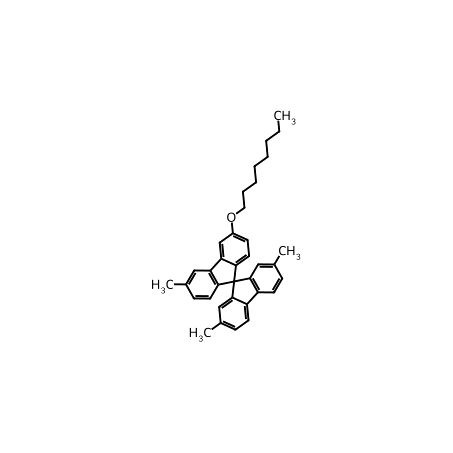 CCCCCCCCOc1ccc2c(c1)-c1cc(C)ccc1C21c2cc(C)ccc2-c2ccc(C)cc21